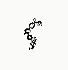 Cc1ccc(N2CCN(C(=O)c3ccon3)CC2)nc1-c1ccc2c(c1)N(C)S(=O)(=O)N2CC1CC1(F)F